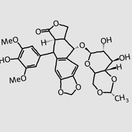 COc1cc(C2c3cc4c(cc3[C@@H](O[C@@H]3OC5CO[C@@H](C)O[C@H]5[C@H](O)[C@H]3O)C3COC(=O)[C@H]23)OCO4)cc(OC)c1O